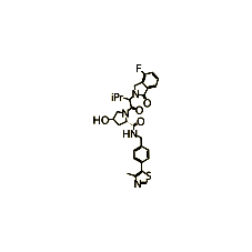 Cc1ncsc1-c1ccc(CNC(=O)[C@@H]2C[C@@H](O)CN2C(=O)C(C(C)C)N2Cc3c(F)cccc3C2=O)cc1